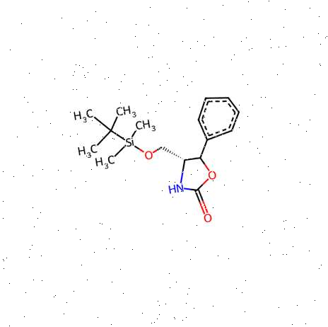 CC(C)(C)[Si](C)(C)OC[C@H]1NC(=O)OC1c1ccccc1